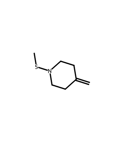 C=C1CCN(SC)CC1